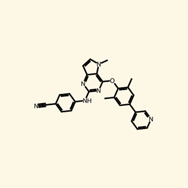 Cc1cc(-c2cccnc2)cc(C)c1Oc1nc(Nc2ccc(C#N)cc2)nc2ccn(C)c12